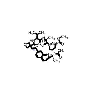 COC(=O)[C@@H]1CCCN(C(=O)[C@H](C)NC(=O)C(NC(=O)C2(/C=C/c3ccc4ccc([C@@H](C)OC(C)=O)nc4c3)COC2)C(C)C)N1